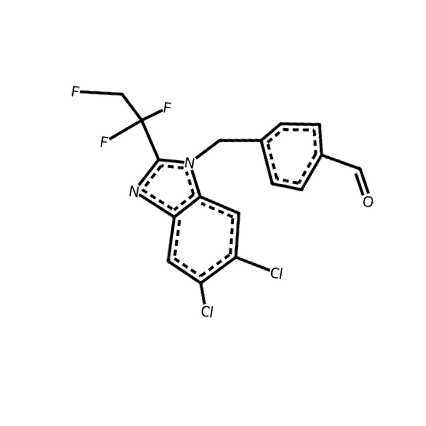 O=Cc1ccc(Cn2c(C(F)(F)CF)nc3cc(Cl)c(Cl)cc32)cc1